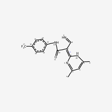 CC1=CC(C)=N/C(=C(/C=N)C(=O)Nc2ccc(C(F)(F)F)cc2)N1